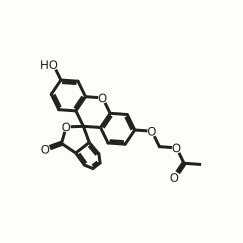 CC(=O)OCOc1ccc2c(c1)Oc1cc(O)ccc1C21OC(=O)c2ccccc21